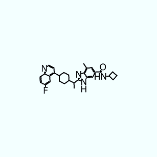 Cc1cc(C(=O)NC2CCC2)cc2[nH]c(C(C)C3CCC(c4ccnc5ccc(F)cc45)CC3)nc12